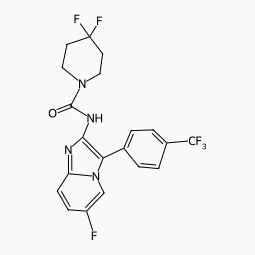 O=C(Nc1nc2ccc(F)cn2c1-c1ccc(C(F)(F)F)cc1)N1CCC(F)(F)CC1